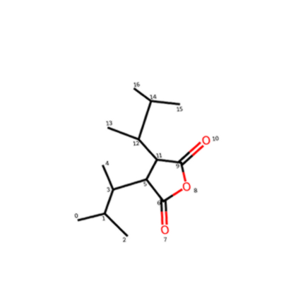 CC(C)C(C)C1C(=O)OC(=O)C1C(C)C(C)C